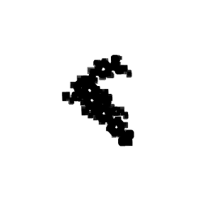 CC1C(C2=CCC(C(=O)O)CC2)=CCC2(C)C1CCC1(C)C2CCC2[C@H]3[C@H](C)CCC3(NCCN3CCC([S+](C)[O-])CC3)CC[C@]21C